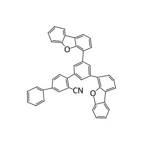 N#Cc1cc(-c2ccccc2)ccc1-c1cc(-c2cccc3c2oc2ccccc23)cc(-c2cccc3c2oc2ccccc23)c1